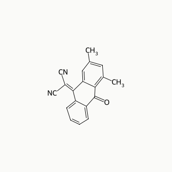 Cc1cc(C)c2c(c1)C(=C(C#N)C#N)c1ccccc1C2=O